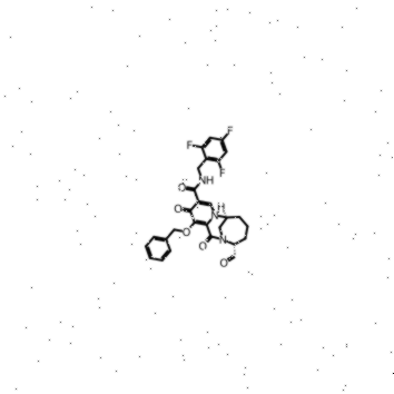 O=C[C@H]1CCC[C@H]2CN1C(=O)c1c(OCc3ccccc3)c(=O)c(C(=O)NCc3c(F)cc(F)cc3F)cn12